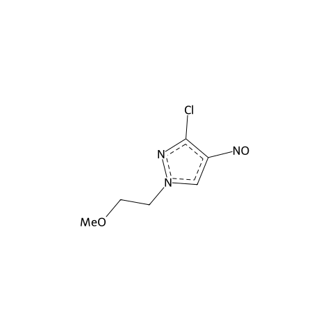 COCCn1cc(N=O)c(Cl)n1